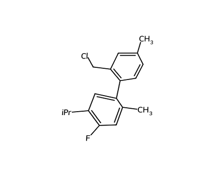 Cc1ccc(-c2cc(C(C)C)c(F)cc2C)c(CCl)c1